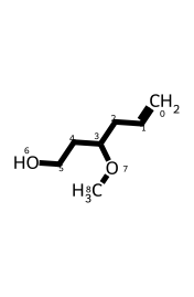 C=CCC(CCO)OC